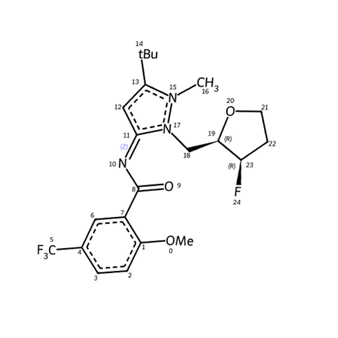 COc1ccc(C(F)(F)F)cc1C(=O)/N=c1/cc(C(C)(C)C)n(C)n1C[C@H]1OCC[C@H]1F